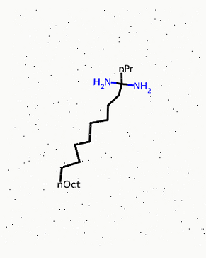 CCCCCCCCCCCCCCCCC(N)(N)CCC